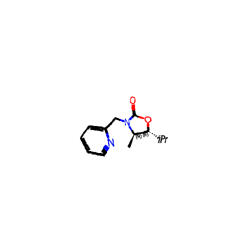 CC(C)[C@H]1OC(=O)N(Cc2ccccn2)[C@@H]1C